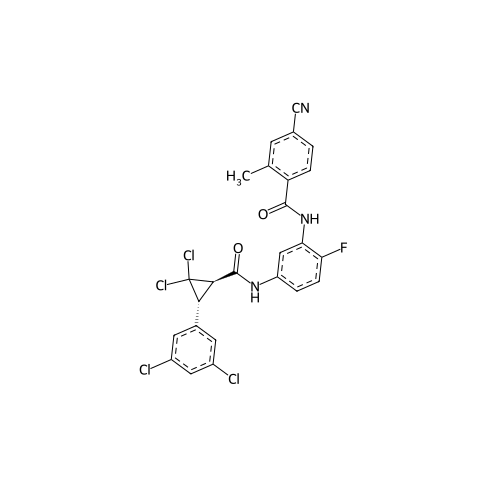 Cc1cc(C#N)ccc1C(=O)Nc1cc(NC(=O)[C@H]2[C@H](c3cc(Cl)cc(Cl)c3)C2(Cl)Cl)ccc1F